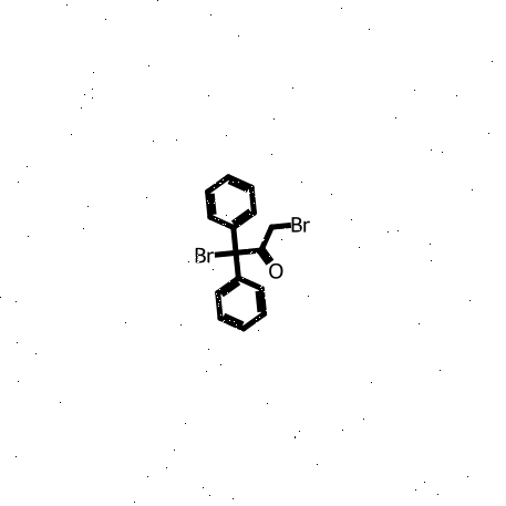 O=C(CBr)C(Br)(c1ccccc1)c1ccccc1